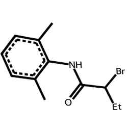 CCC(Br)C(=O)Nc1c(C)cccc1C